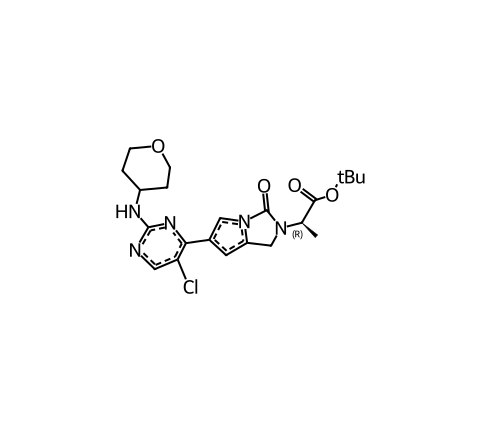 C[C@H](C(=O)OC(C)(C)C)N1Cc2cc(-c3nc(NC4CCOCC4)ncc3Cl)cn2C1=O